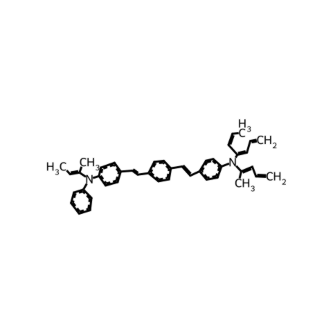 C=C/C=C(\C)N(C(/C=C\C)=C/C=C)c1ccc(/C=C/c2ccc(/C=C/c3ccc(N(/C(C)=C/C)c4ccccc4)cc3)cc2)cc1